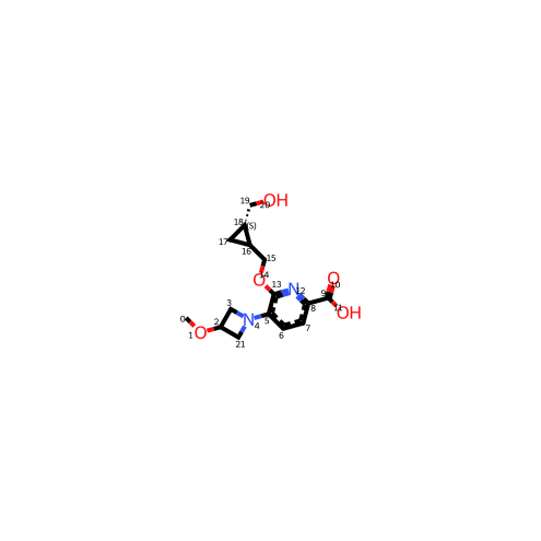 COC1CN(c2ccc(C(=O)O)nc2OCC2C[C@@H]2CO)C1